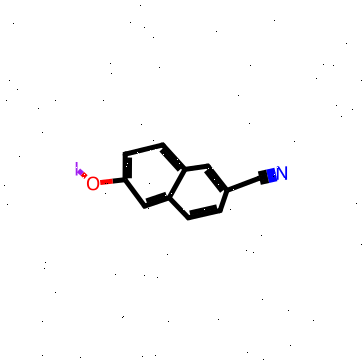 N#Cc1ccc2cc(OI)ccc2c1